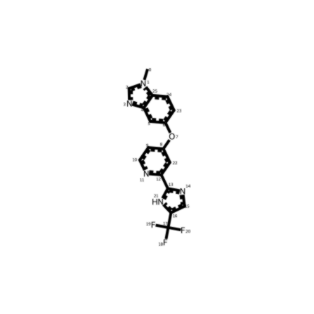 Cn1[c]nc2cc(Oc3ccnc(-c4ncc(C(F)(F)F)[nH]4)c3)ccc21